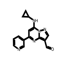 O=Cc1cnn2c(NC3CC3)cc(-c3cccnc3)nc12